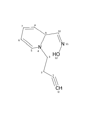 C#CCCN1C=CC=CC1/C=N\O